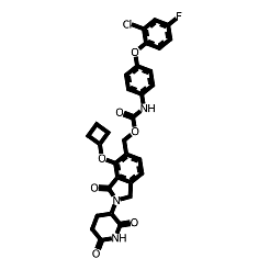 O=C1CCC(N2Cc3ccc(COC(=O)Nc4ccc(Oc5ccc(F)cc5Cl)cc4)c(OC4CCC4)c3C2=O)C(=O)N1